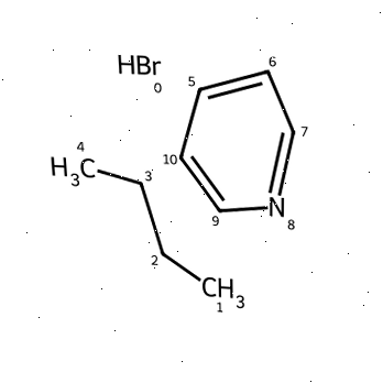 Br.CCCC.c1ccncc1